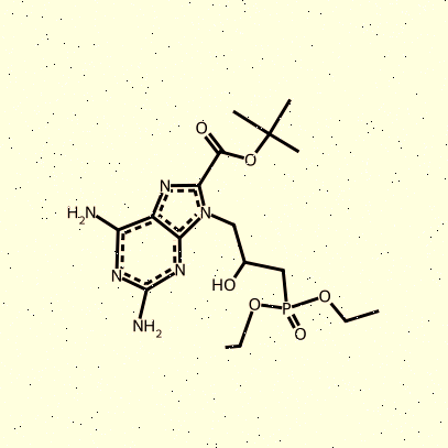 CCOP(=O)(CC(O)Cn1c(C(=O)OC(C)(C)C)nc2c(N)nc(N)nc21)OCC